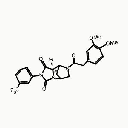 COc1ccc(CC(=O)N2CC3CC2[C@@H]2C(=O)N(c4cccc(C(F)(F)F)c4)C(=O)N32)cc1OC